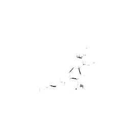 C/C=C/COc1ccc(C(CC)C(=O)OC)cc1[N+](=O)[O-]